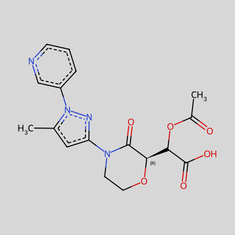 CC(=O)OC(C(=O)O)[C@H]1OCCN(c2cc(C)n(-c3cccnc3)n2)C1=O